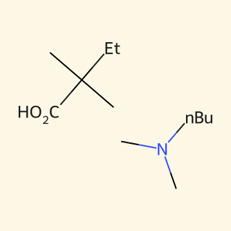 CCC(C)(C)C(=O)O.CCCCN(C)C